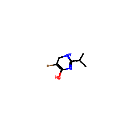 CC(C)C1=NC(O)=C(Br)[CH]N1